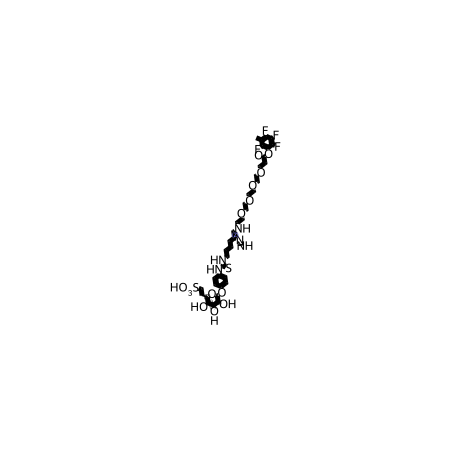 Cc1c(F)c(F)c(F)c(OC(=O)CCOCCOCCOCCOCCN/C=C(/CCCCNC(=S)Nc2ccc(OC3O[C@H](CCS(=O)(=O)O)[C@@H](O)[C@H](O)[C@@H]3O)cc2)N=N)c1F